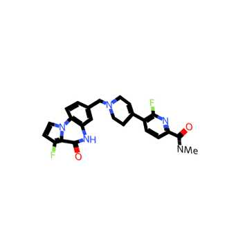 CNC(=O)c1ccc(C2=CCN(Cc3ccc4c(c3)[nH]c(=O)c3c(F)ccn34)CC2)c(F)n1